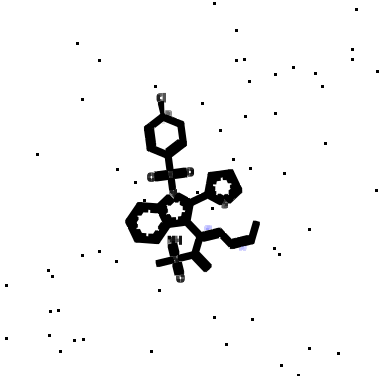 C=C(/C(=C\C=C/C)c1c(-c2cccs2)n(S(=O)(=O)C2=CC[C@H](Cl)C=C2)c2ccccc12)S(C)(=N)=O